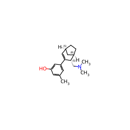 Cc1cc(O)cc(C2=C[C@H]3CC[C@H](C3)[C@@H]2CN(C)C)c1